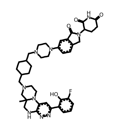 CC12CNc3nnc(-c4cccc(F)c4O)cc3N1CCN(CC1CCC(CN3CCN(c4ccc5c(c4)C(=O)N(C4CCC(=O)NC4=O)C5)CC3)CC1)C2